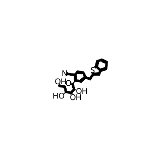 N#Cc1ccc(Cc2cc3ccccc3s2)cc1[C@@H]1OC(CO)[C@@H](O)C(O)[C@H]1O